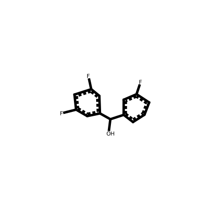 OC(c1cccc(F)c1)c1cc(F)cc(F)c1